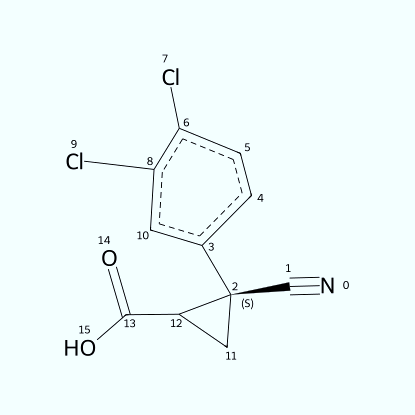 N#C[C@@]1(c2ccc(Cl)c(Cl)c2)CC1C(=O)O